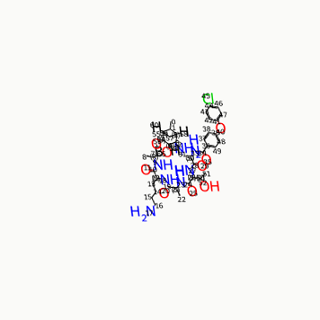 CC1[C@@H]2C[C@H]3OB([C@H](C)NC(=O)[C@H](CCCCN)NC(=O)[C@H](C)NC(=O)[C@@H](NC(=O)[C@H](CN)NC(=O)c4ccc(Oc5ccc(Cl)cc5)cc4)[C@@H](C)O)O[C@@]3(C)[C@H]1C2